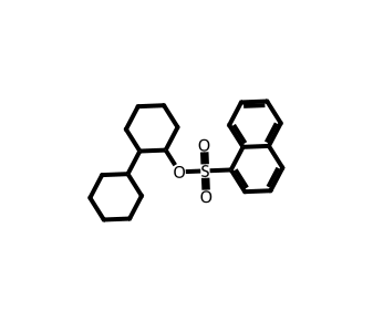 O=S(=O)(OC1CCCCC1C1CCCCC1)c1cccc2ccccc12